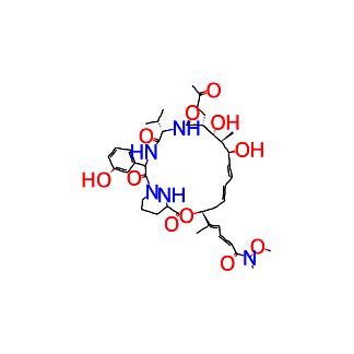 CON(C)C(=O)/C=C/C=C(\C)[C@@H]1C/C=C/C=C/[C@H](O)[C@H](C)[C@@H](O)[C@@H](CCC(C)=O)C(=O)N[C@@H](C(C)C)C(=O)NC(c2cccc(O)c2)C(=O)N2CCCC(N2)C(=O)O1